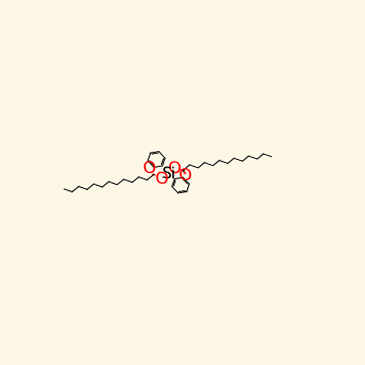 CCCCCCCCCCCCC(=O)O[Si](OC(=O)CCCCCCCCCCCC)(c1ccccc1)c1ccccc1